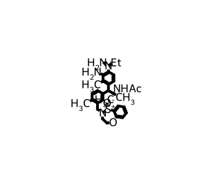 CCN(N)c1ccc(C(c2ccc(C)c(CN3CCOc4ccccc4[S+]3[O-])c2)C(C)(C)NC(C)=O)c(C)c1N